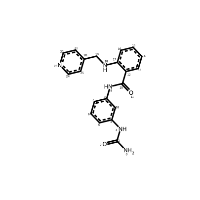 NC(=O)Nc1cccc(NC(=O)c2ccccc2NCc2ccncc2)c1